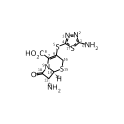 Nc1nnc(SC2=C(C(=O)O)N3C(=O)[C@@H](N)[C@@H]3SC2)s1